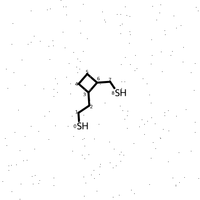 SCCC1CCC1CS